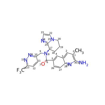 Cc1cc2cc(C(=O)N(Cc3ccc(C(F)(F)F)nn3)[C@@H]3CCCn4ccnc43)ccc2nc1N